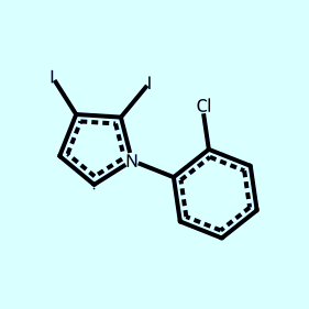 Clc1ccccc1-n1[c]cc(I)c1I